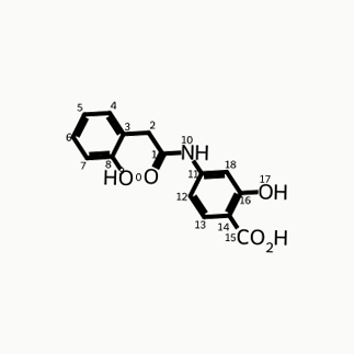 O=C(Cc1ccccc1O)Nc1ccc(C(=O)O)c(O)c1